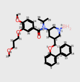 BN1CC(COc2ccccc2-c2ccccc2)CC(N(C(=O)c2ccc(OC)c(OCCCOC)c2)C(C)C)C1